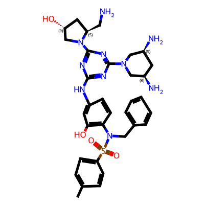 Cc1ccc(S(=O)(=O)N(Cc2ccccc2)c2ccc(Nc3nc(N4C[C@H](N)C[C@H](N)C4)nc(N4C[C@H](O)C[C@H]4CN)n3)cc2O)cc1